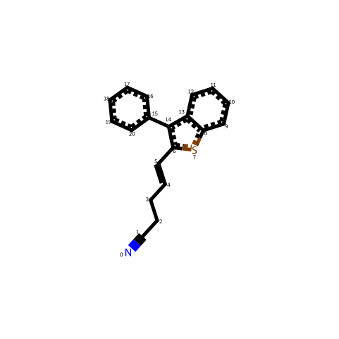 N#CCCC=Cc1sc2ccccc2c1-c1ccccc1